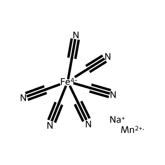 N#[C][Fe-4]([C]#N)([C]#N)([C]#N)([C]#N)[C]#N.[Mn+2].[Na+]